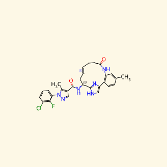 Cc1ccc2c(c1)NC(=O)CC/C=C/C[C@H](NC(=O)c1cnn(-c3cccc(Cl)c3F)c1C)c1nc-2c[nH]1